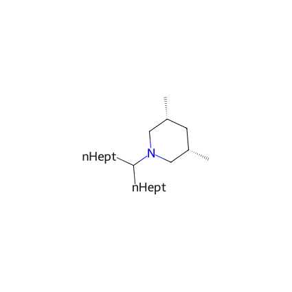 CCCCCCCC(CCCCCCC)N1C[C@H](C)C[C@H](C)C1